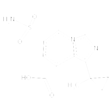 CC1(c2ncn3cc(S(N)(=O)=O)ccc23)CC1.O=CO